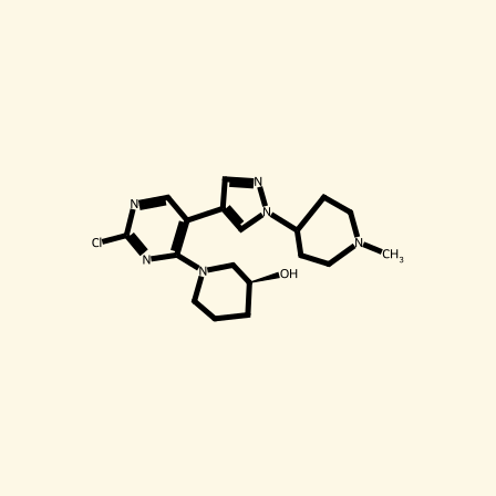 CN1CCC(n2cc(-c3cnc(Cl)nc3N3CCC[C@H](O)C3)cn2)CC1